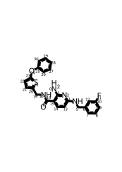 Nc1nc(NCc2cccc(F)c2)ccc1C(=O)NCc1ccc(Oc2ccccc2)s1